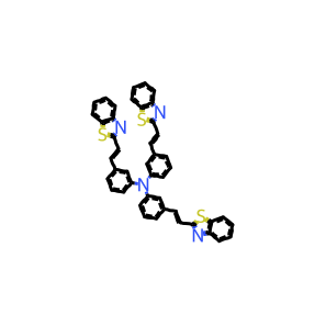 C(=C\c1nc2ccccc2s1)/c1cccc(N(c2cccc(/C=C/c3nc4ccccc4s3)c2)c2cccc(/C=C/c3nc4ccccc4s3)c2)c1